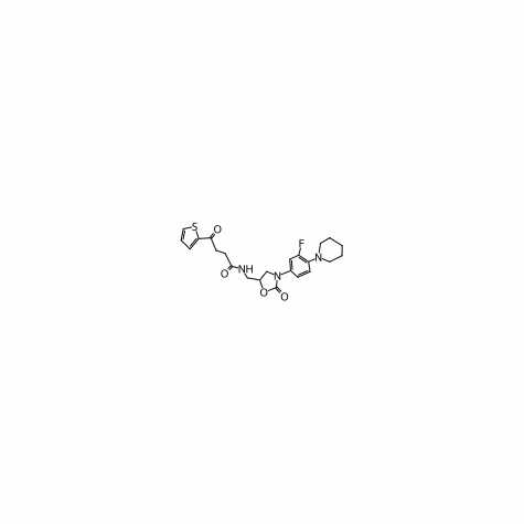 O=C(CCC(=O)c1cccs1)NCC1CN(c2ccc(N3CCCCC3)c(F)c2)C(=O)O1